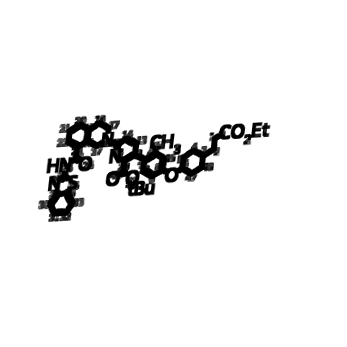 CCOC(=O)CCC1CCC(Oc2ccc(-c3ccc(N4CCc5cccc(C(=O)Nc6nc7ccccc7s6)c5C4)nc3C(=O)OC(C)(C)C)c(C)c2)CC1